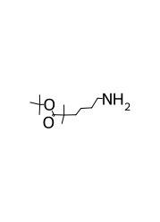 CC(C)(C)OC(=O)C(C)(C)CCCCN